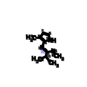 C=N/C(=N\c1[nH]ccc1C)C(C)C